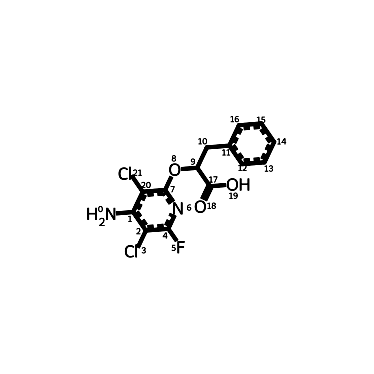 Nc1c(Cl)c(F)nc(OC(Cc2ccccc2)C(=O)O)c1Cl